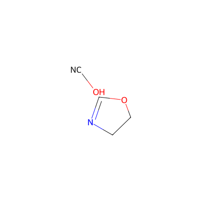 C1=NCCO1.N#CO